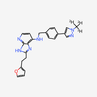 [2H]C([2H])([2H])n1cc(-c2ccc(CNc3ccnc4[nH]c(CCc5ccco5)nc34)cc2)cn1